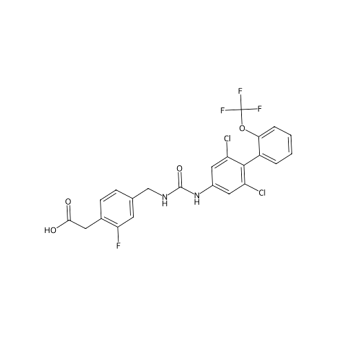 O=C(O)Cc1ccc(CNC(=O)Nc2cc(Cl)c(-c3ccccc3OC(F)(F)F)c(Cl)c2)cc1F